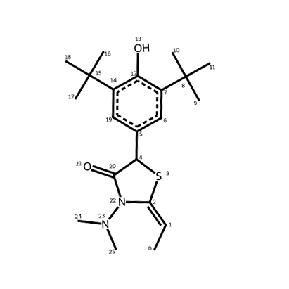 CC=C1SC(c2cc(C(C)(C)C)c(O)c(C(C)(C)C)c2)C(=O)N1N(C)C